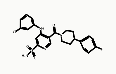 NS(=O)(=O)c1cc(Nc2cccc(Cl)c2)c(C(=O)N2CCC(c3ccc(F)cc3)CC2)cn1